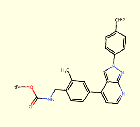 Cc1cc(-c2ccnc3nn(-c4ccc(C=O)cc4)cc23)ccc1CNC(=O)OC(C)(C)C